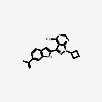 C=C(C)c1ccc2cc(-c3nn(C4CCC4)c4ncnc(N)c34)[nH]c2c1